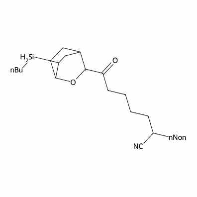 [CH2]CCCCCCCCC(C#N)CCCCC(=O)[C]1OC2CCC1CC2[SiH2]CCCC